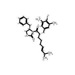 Cc1cc(C[C@H](CCC/C=C/C(C)C)C(=O)N2C(=O)OC[C@H]2Cc2ccccc2)cc(C)c1F